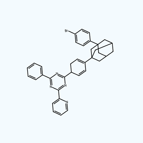 Brc1ccc(C23CC4CC(CC(C5=CCC(c6nc(-c7ccccc7)nc(-c7ccccn7)n6)C=C5)(C4)C2)C3)cc1